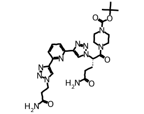 CC(C)(C)OC(=O)N1CCN(C(=O)[C@H](CCC(N)=O)n2cc(-c3cccc(-c4cn(CCC(N)=O)nn4)n3)nn2)CC1